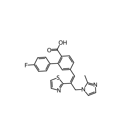 Cc1nccn1CC(=Cc1ccc(C(=O)O)c(-c2ccc(F)cc2)c1)c1nccs1